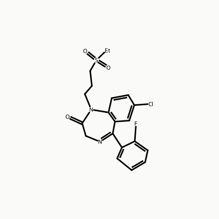 CCS(=O)(=O)CCCN1C(=O)CN=C(c2ccccc2F)c2cc(Cl)ccc21